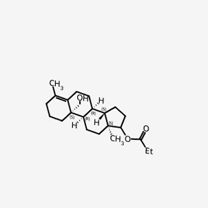 CCC(=O)OC1CC[C@H]2[C@@H]3CCC4=C(C)CCC[C@]4(CO)[C@@H]3CC[C@]12C